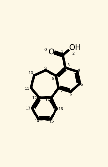 O=C(O)c1cccc2c1CCCc1ccccc1-2